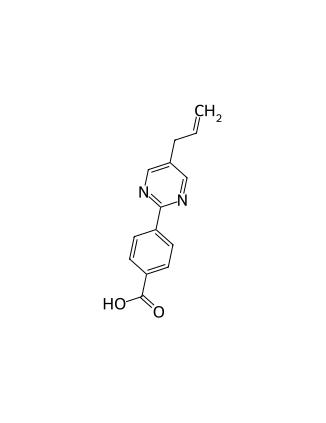 C=CCc1cnc(-c2ccc(C(=O)O)cc2)nc1